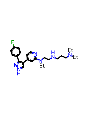 CCN(CC)CCCNCCN(CC)c1cc(-c2c[nH]nc2-c2ccc(F)cc2)ccn1